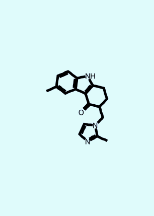 Cc1ccc2[nH]c3c(c2c1)C(=O)C(Cn1ccnc1C)CC3